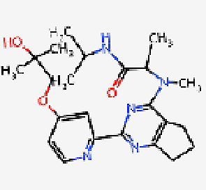 CC(C)NC(=O)C(C)N(C)c1nc(-c2cc(OCC(C)(C)O)ccn2)nc2c1CCC2